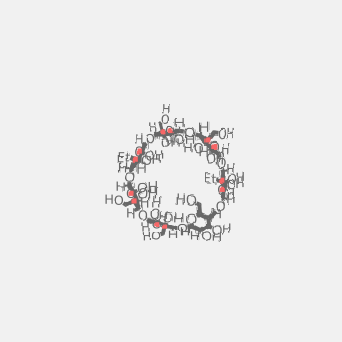 CCC1O[C@H]2O[C@@H]3C(CO)O[C@H](O[C@@H]4C(CO)O[C@H](O[C@@H]5C(CO)O[C@H](O[C@@H]6C(CC)O[C@H](O[C@@H]7C(CO)O[C@@H](O[C@@H]8C(CO)O[C@@H](O[C@@H]1C(O)[C@@H]2O)[C@@H](O)C8O)[C@@H](O)C7O)C(O)[C@H]6O)C(O)[C@H]5O)[C@@H](O)C4O)[C@@H](O)C3O